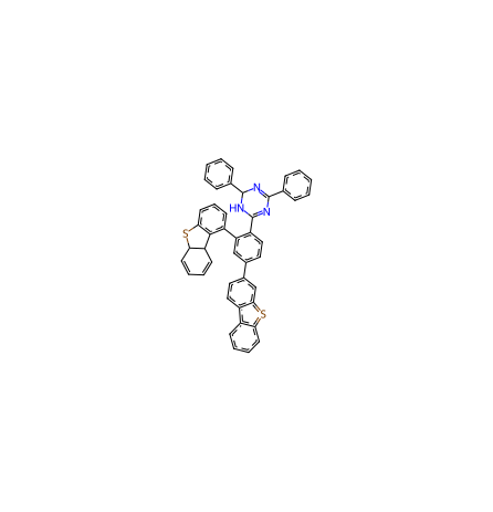 C1=CC2Sc3cccc(-c4cc(-c5ccc6c(c5)sc5ccccc56)ccc4C4=NC(c5ccccc5)=NC(c5ccccc5)N4)c3C2C=C1